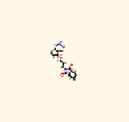 CN1CCc2c(cccc2OCCCN2C(=O)c3ccccc3C2=O)C1